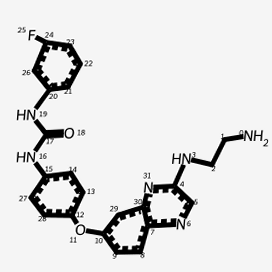 NCCNc1cnc2ccc(Oc3ccc(NC(=O)Nc4cccc(F)c4)cc3)cc2n1